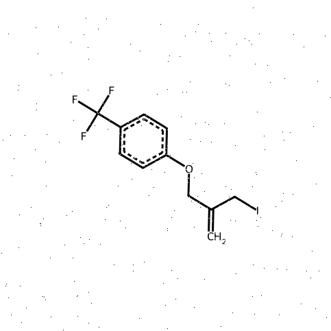 C=C(CI)COc1ccc(C(F)(F)F)cc1